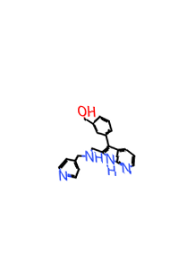 OCc1cccc(-c2c(CNCc3ccncc3)[nH]c3ncccc23)c1